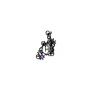 C=CC(=O)N1CC[C@H](C(=O)N(C)[C@H](C(=O)N[C@H]2Cc3coc(n3)-c3ccc4c(c3)c(c(/C(C=C)=C(/N=C\C)[C@H](C)OC)n4CC)CC(C)(C)COC(=O)[C@@H]3CCCN(N3)C2=O)C(C)C)C1